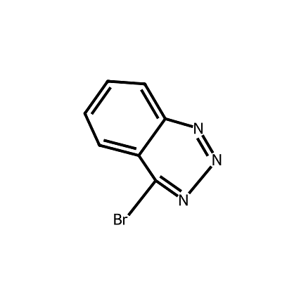 Brc1nnnc2ccccc12